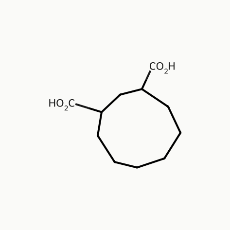 O=C(O)C1CCCCCCC(C(=O)O)C1